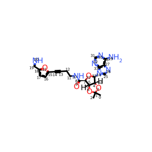 CC1(C)O[C@@H]2[C@H](O1)[C@@H](C(=O)NCCC#Cc1ccc(C=N)o1)O[C@H]2n1cnc2c(N)ncnc21